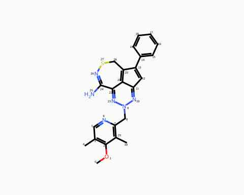 COc1c(C)cnc(Cn2nc3cc(-c4ccccc4)c4c-3c(n2)C(N)=NSC4)c1C